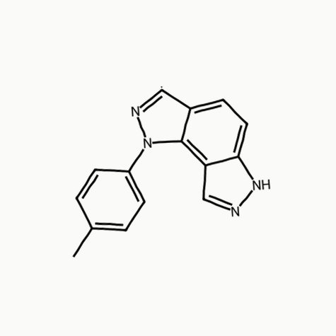 Cc1ccc(-n2n[c]c3ccc4[nH]ncc4c32)cc1